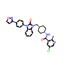 Cc1ncc(Cl)cc1C(=O)N[C@H]1CC[C@H](Cn2c(=O)n(-c3ccc(-c4ccon4)cc3)c3ccccc32)CC1